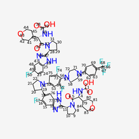 O=C(O)N[C@H](C(=O)N1CCC[C@H]1c1nc2cc(F)c([C@H]3CC[C@H](c4cc5[nH]c([C@@H]6CCCN6C(=O)[C@@H](NC(=O)O)C6CCOCC6)nc5cc4F)N3c3cc(F)c(N4CCN(c5ccc(C(F)(F)F)cc5)CC4)c(F)c3)cc2[nH]1)C1CCOCC1